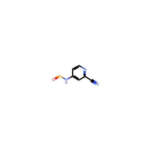 N#Cc1cc(NP=O)ccn1